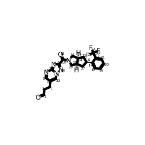 O=CCCc1cnc2nc(C(=O)N3C[C@H]4C[C@@H](c5ccccc5C(F)(F)F)C[C@H]4C3)nn2c1